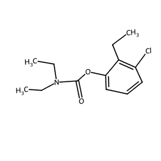 CCc1c(Cl)cccc1OC(=O)N(CC)CC